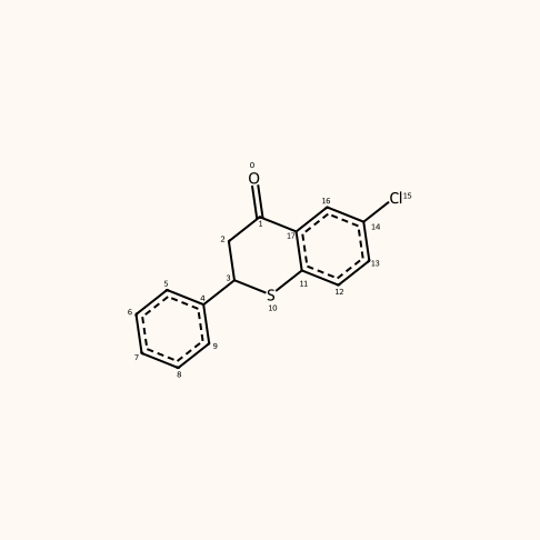 O=C1CC(c2ccccc2)Sc2ccc(Cl)cc21